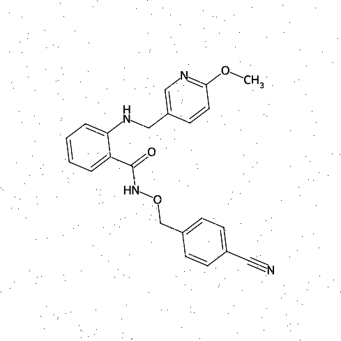 COc1ccc(CNc2ccccc2C(=O)NOCc2ccc(C#N)cc2)cn1